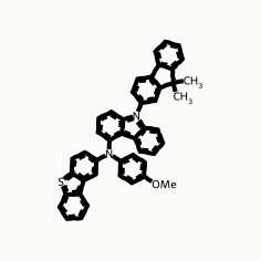 COc1ccc(N(c2ccc3sc4ccccc4c3c2)c2cccc3c2c2ccccc2n3-c2ccc3c(c2)C(C)(C)c2ccccc2-3)cc1